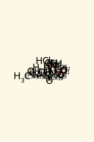 CCC(CC)C(=O)N(C(=O)[C@@H]1CCCN1)[C@H](Cc1ccc2ccccc2c1)C(=O)NCC(O)CNCC(C)O.Cl